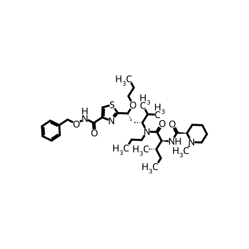 CCCO[C@H](C[C@H](C(C)C)N(CCC)C(=O)[C@@H](NC(=O)[C@H]1CCCCN1C)[C@@H](C)CC)c1nc(C(=O)NOCc2ccccc2)cs1